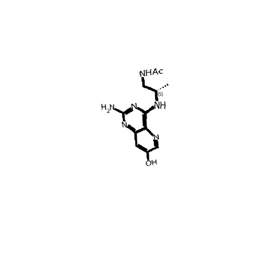 CC(=O)NC[C@H](C)Nc1nc(N)nc2cc(O)cnc12